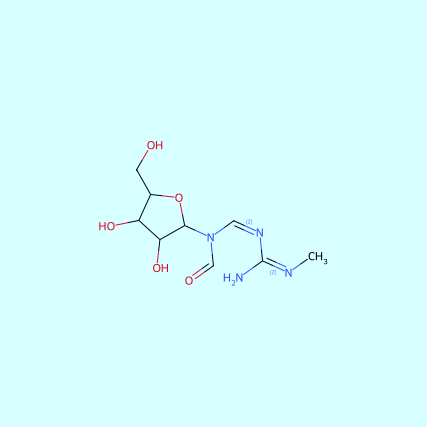 C/N=C(N)\N=C/N(C=O)C1OC(CO)C(O)C1O